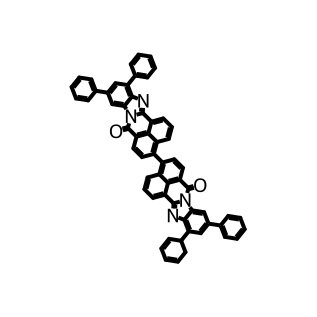 O=c1c2ccc(-c3ccc4c(=O)n5c6cc(-c7ccccc7)cc(C7C=CC=CC7)c6nc5c5cccc3c45)c3cccc(c32)c2nc3c(-c4ccccc4)cc(-c4ccccc4)cc3n12